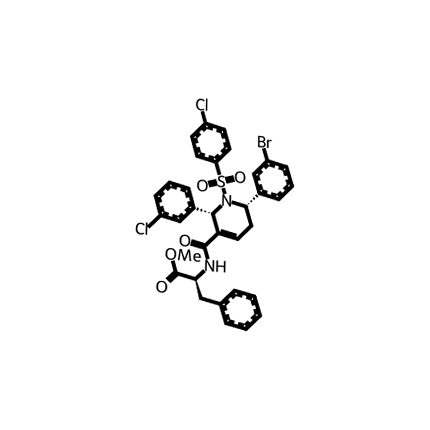 COC(=O)[C@H](Cc1ccccc1)NC(=O)C1=CC[C@@H](c2cccc(Br)c2)N(S(=O)(=O)c2ccc(Cl)cc2)[C@H]1c1cccc(Cl)c1